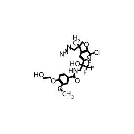 COc1cc(C(=O)NCC(O)(c2cc3c(c(Cl)n2)OCC3(C)CN=[N+]=[N-])C(F)(F)F)ccc1OCCO